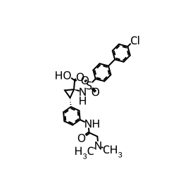 CN(C)CC(=O)Nc1cccc([C@@H]2C[C@]2(NS(=O)(=O)c2ccc(-c3ccc(Cl)cc3)cc2)C(=O)O)c1